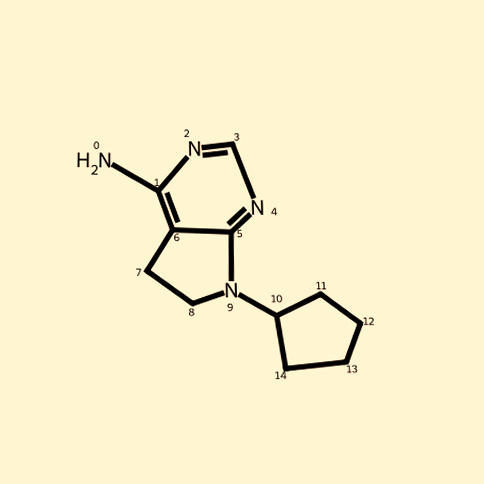 Nc1ncnc2c1CCN2C1CCCC1